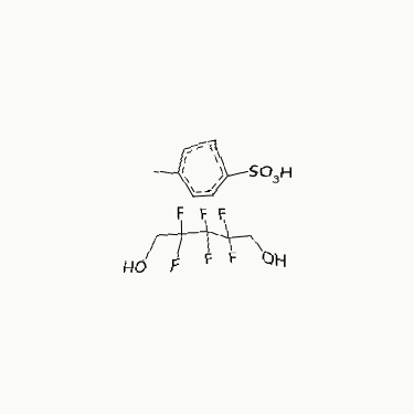 Cc1ccc(S(=O)(=O)O)cc1.OCC(F)(F)C(F)(F)C(F)(F)CO